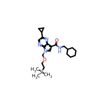 C[Si](C)(C)CCOCn1cc(C(=O)NCC2CCCCC2)c2nc(C3CC3)cnc21